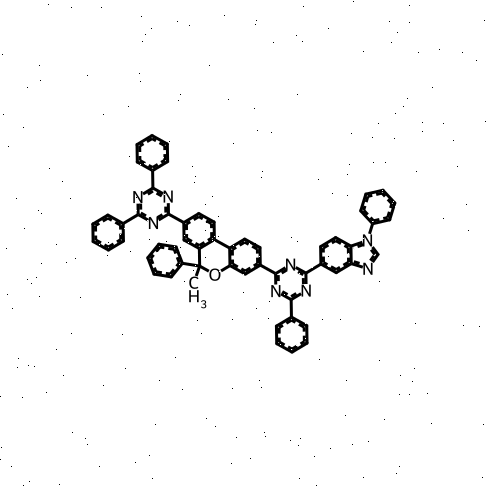 CC1(c2ccccc2)Oc2cc(-c3nc(-c4ccccc4)nc(-c4ccc5c(c4)ncn5-c4ccccc4)n3)ccc2-c2ccc(-c3nc(-c4ccccc4)nc(-c4ccccc4)n3)cc21